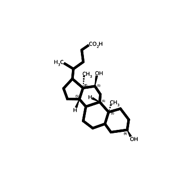 CC(CCC(=O)O)C1CC[C@H]2C3CCC4C[C@H](O)CC[C@]4(C)[C@H]3C[C@H](O)[C@]12C